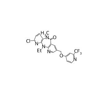 CCN1c2ncc(COc3ccnc(C(F)(F)F)c3)cc2C(=O)N(C)c2ccc(Cl)nc21